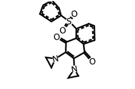 O=C1C(N2CC2)=C(N2CC2)C(=O)c2c1cccc2S(=O)(=O)c1ccccc1